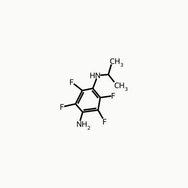 CC(C)Nc1c(F)c(F)c(N)c(F)c1F